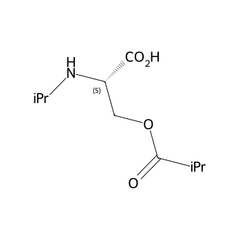 CC(C)N[C@@H](COC(=O)C(C)C)C(=O)O